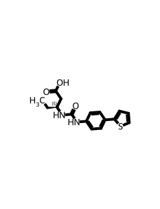 CC[C@@H](CC(=O)O)NC(=O)Nc1ccc(-c2cccs2)cc1